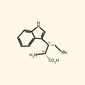 CC(C)(C)C[C@@H](c1c[nH]c2ccccc12)[C@@H](N)C(=O)O